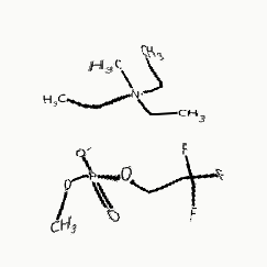 CC[N+](C)(CC)CC.COP(=O)([O-])OCC(F)(F)F